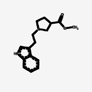 COC(=O)C1CCN(CCc2c[nH]c3ccccc23)C1